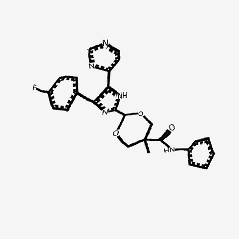 CC1(C(=O)Nc2ccccc2)COC(c2nc(-c3ccc(F)cc3)c(-c3ccn[c]n3)[nH]2)OC1